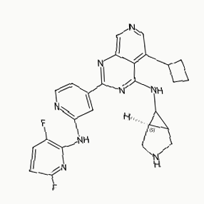 Fc1ccc(F)c(Nc2cc(-c3nc(NC4C5CNC[C@H]54)c4c(C5CCC5)cncc4n3)ccn2)n1